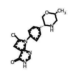 C[C@H]1CN[C@H](c2ccc(-n3c(Cl)cc4c(=O)[nH]cnc43)cc2)CO1